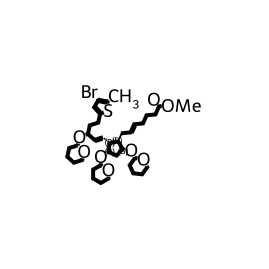 COC(=O)CCCC=CC[C@@H]1[C@@H](C=CC(CCc2cc(Br)c(C)s2)OC2CCCCO2)[C@H](OC2CCCCO2)C[C@@H]1OC1CCCCO1